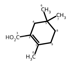 CC1=C(C(=O)O)CC(C)(C)CC1